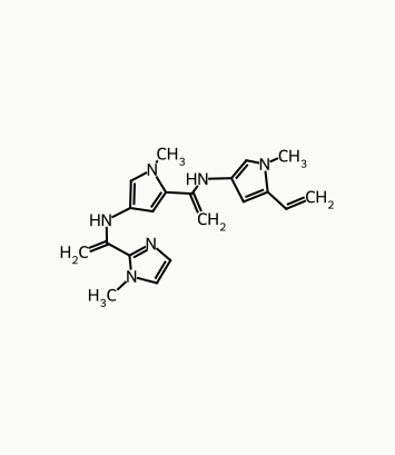 C=Cc1cc(NC(=C)c2cc(NC(=C)c3nccn3C)cn2C)cn1C